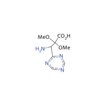 COC(OC)(C(=O)O)C(N)c1ncncn1